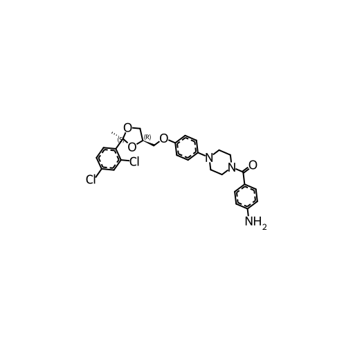 C[C@]1(c2ccc(Cl)cc2Cl)OC[C@@H](COc2ccc(N3CCN(C(=O)c4ccc(N)cc4)CC3)cc2)O1